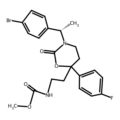 COC(=O)NCCC1(c2ccc(F)cc2)CCN([C@@H](C)c2ccc(Br)cc2)C(=O)O1